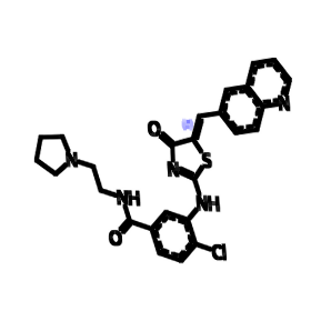 O=C1N=C(Nc2cc(C(=O)NCCN3CCCC3)ccc2Cl)S/C1=C\c1ccc2ncccc2c1